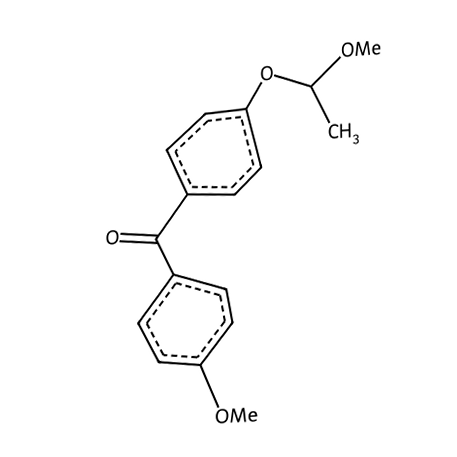 COc1ccc(C(=O)c2ccc(OC(C)OC)cc2)cc1